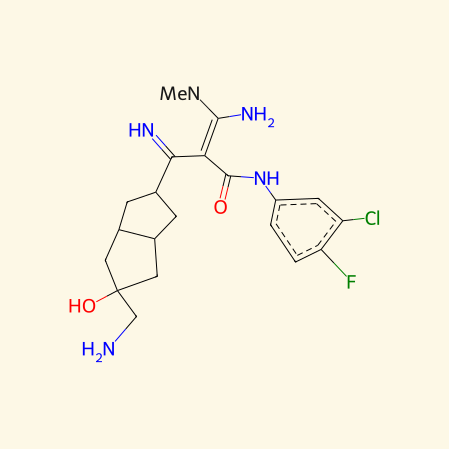 CN/C(N)=C(\C(=N)C1CC2CC(O)(CN)CC2C1)C(=O)Nc1ccc(F)c(Cl)c1